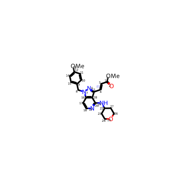 COC(=O)/C=C/c1nn(Cc2ccc(OC)cc2)c2ccnc(NC3CCOCC3)c12